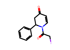 O=C1C=CN(C(=O)CI)C(c2ccccc2)C1